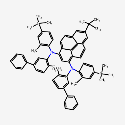 Cc1cc([Si](C)(C)C)ccc1N(c1cc(-c2ccccc2)ccc1C)c1cc(N(c2ccc([Si](C)(C)C)cc2C)c2cc(-c3ccccc3)ccc2C)c2ccc3cc(C(C)(C)C)cc4ccc1c2c43